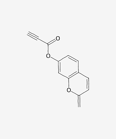 C#CC(=O)Oc1ccc2c(c1)OC(=C)C=C2